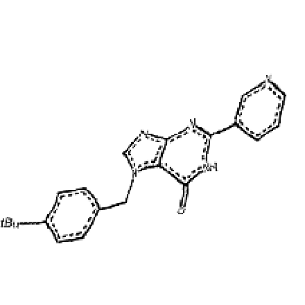 CC(C)(C)c1ccc(Cn2cnc3nc(-c4cccnc4)[nH]c(=O)c32)cc1